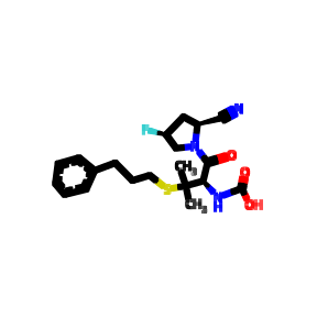 CC(C)(SCCCc1ccccc1)[C@H](NC(=O)O)C(=O)N1C[C@@H](F)C[C@H]1C#N